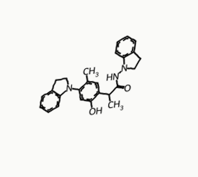 Cc1cc(C(C)C(=O)NN2CCc3ccccc32)c(O)cc1N1CCc2ccccc21